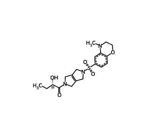 CC[C@H](O)C(=O)N1CC2=C(C1)CN(S(=O)(=O)c1ccc3c(c1)N(C)CCO3)C2